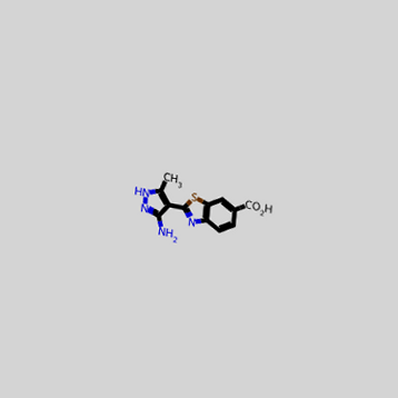 Cc1[nH]nc(N)c1-c1nc2ccc(C(=O)O)cc2s1